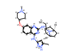 Cc1cc(Nc2nc(N[C@@H]3C[C@H]4CC[C@@H](C3)N4CCC#N)nc3cc(OC4CCN(C)CC4)ccc23)n[nH]1